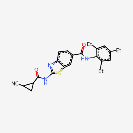 CCc1cc(CC)c(NC(=O)c2ccc3nc(NC(=O)C4CC4C#N)sc3c2)c(CC)c1